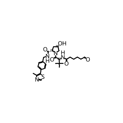 Cc1ncsc1-c1ccc(CNC(=O)[C@@H]2C[C@@H](O)CN2C(=O)[C@@H](NC(=O)CCCCC=O)C(C)(C)C)cc1